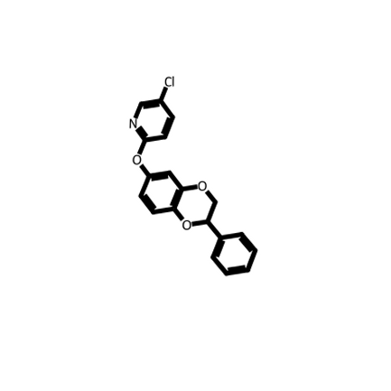 Clc1ccc(Oc2ccc3c(c2)OCC(c2ccccc2)O3)nc1